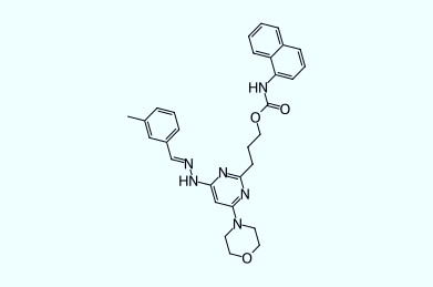 Cc1cccc(C=NNc2cc(N3CCOCC3)nc(CCCOC(=O)Nc3cccc4ccccc34)n2)c1